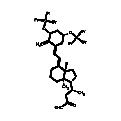 C=C1/C(=C/C=C2CCC[C@]3(C)[C@@H]([C@H](C)CC(=O)C=O)CC[C@@H]23)C[C@@H](O[Si](C(C)C)(C(C)C)C(C)C)C[C@@H]1O[Si](C(C)C)(C(C)C)C(C)C